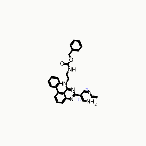 C=C/N=C\C(=C/N)c1nc(NCCNC(=O)OCc2ccccc2)c2c(-c3ccccc3)cccc2n1